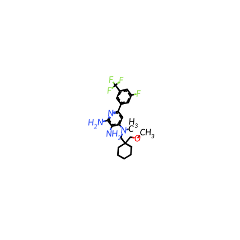 COCC1(CN(C)c2cc(-c3cc(F)cc(C(F)(F)F)c3)nc(N)c2N)CCCCC1